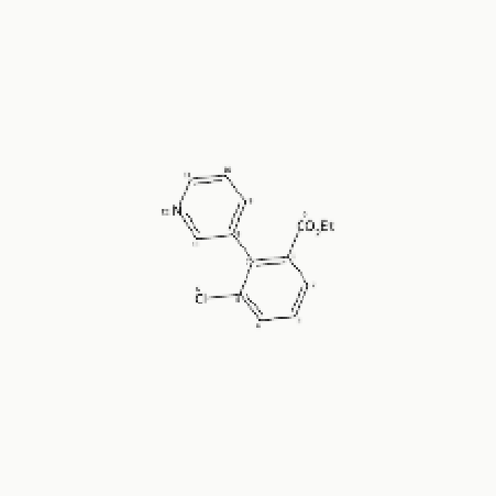 CCOC(=O)c1cccc(Cl)c1-c1cccnc1